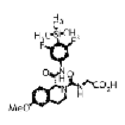 COc1ccc2c(c1)CCN(C(=O)NCC(=O)O)[C@H]2C(=O)Nc1cc(F)c([Si](C)(C)C)c(F)c1